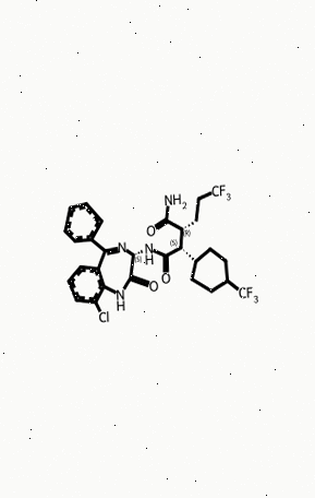 NC(=O)[C@H](CCC(F)(F)F)[C@@H](C(=O)N[C@H]1N=C(c2ccccc2)c2cccc(Cl)c2NC1=O)C1CCC(C(F)(F)F)CC1